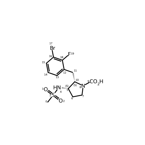 CS(=O)(=O)N[C@H]1CCN(C(=O)O)[C@H]1Cc1cccc(Br)c1F